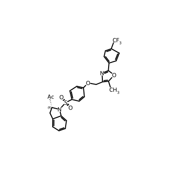 CC(=O)[C@H]1Cc2ccccc2N1S(=O)(=O)c1ccc(OCc2nc(-c3ccc(C(F)(F)F)cc3)oc2C)cc1